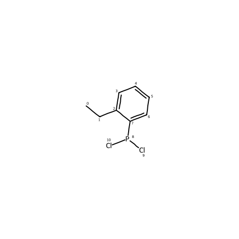 CCc1ccccc1P(Cl)Cl